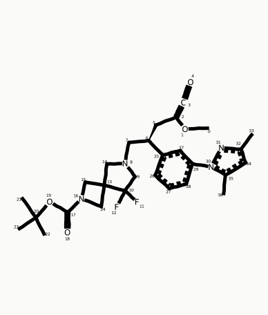 COC(=C=O)C[C@H](CN1CC(F)(F)C2(C1)CN(C(=O)OC(C)(C)C)C2)c1cccc(-n2nc(C)cc2C)c1